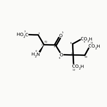 N[C@@H](CC(=O)O)C(=O)OC(CC(=O)O)(CC(=O)O)C(=O)O